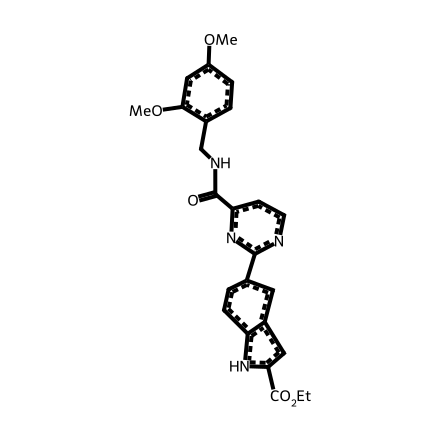 CCOC(=O)c1cc2cc(-c3nccc(C(=O)NCc4ccc(OC)cc4OC)n3)ccc2[nH]1